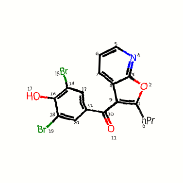 CCCc1oc2ncccc2c1C(=O)c1cc(Br)c(O)c(Br)c1